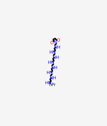 CCCNCCNCCNCCNCCNCCNCCNCCNCCN1C(=O)CCC1=O